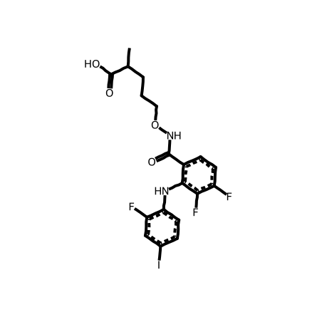 CC(CCCONC(=O)c1ccc(F)c(F)c1Nc1ccc(I)cc1F)C(=O)O